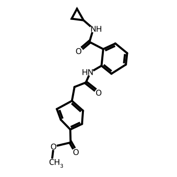 COC(=O)c1ccc(CC(=O)Nc2ccccc2C(=O)NC2CC2)cc1